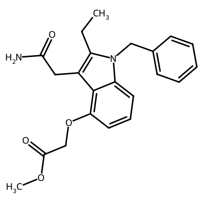 CCc1c(CC(N)=O)c2c(OCC(=O)OC)cccc2n1Cc1ccccc1